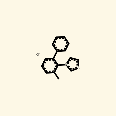 Cc1cccc(-c2ccccc2)c1-[n+]1ccsc1.[Cl-]